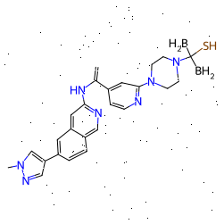 BC(B)(S)N1CCN(c2cc(C(=C)Nc3cc4cc(-c5cnn(C)c5)ccc4cn3)ccn2)CC1